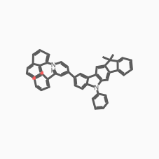 C=C(/C=C(\C=C/Nc1cccc2ccccc12)c1ccc2c(c1)c1cc3c(cc1n2-c1ccccc1)-c1ccccc1C3(C)C)c1ccccc1